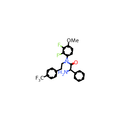 COc1ccc(N(CCc2ccc(C(F)(F)F)cc2)C(=O)C(N)c2ccccc2)c(F)c1F